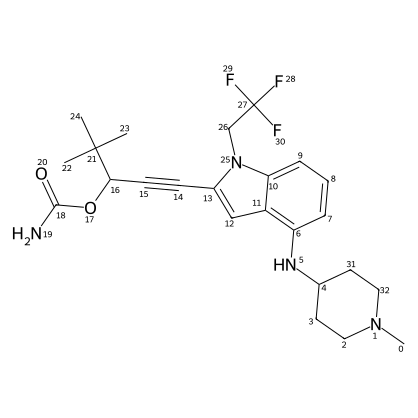 CN1CCC(Nc2cccc3c2cc(C#CC(OC(N)=O)C(C)(C)C)n3CC(F)(F)F)CC1